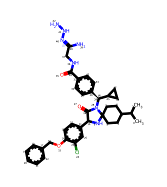 CC(C)C1CCC2(CC1)NC(c1ccc(OCc3ccccc3)c(Cl)c1)C(=O)N2[C@@H](c1ccc(C(=O)NC/C(N)=N/NN)cc1)C1CC1